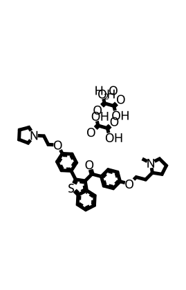 CN1CCCC1CCOc1ccc(C(=O)c2c(-c3ccc(OCCN4CCCC4)cc3)sc3ccccc23)cc1.O.O=C(O)C(=O)O.O=C(O)C(=O)O